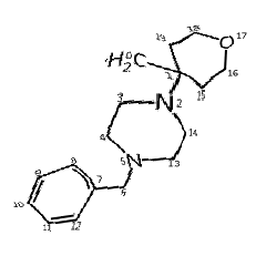 [CH2]C1(N2CCN(Cc3ccccc3)CC2)CCOCC1